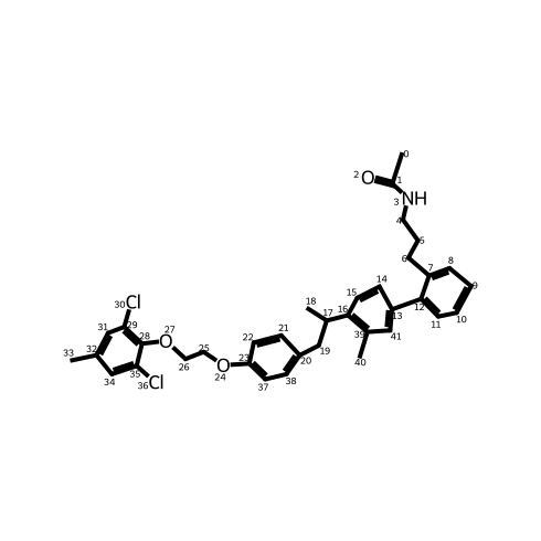 CC(=O)NCCCc1ccccc1-c1ccc(C(C)Cc2ccc(OCCOc3c(Cl)cc(C)cc3Cl)cc2)c(C)c1